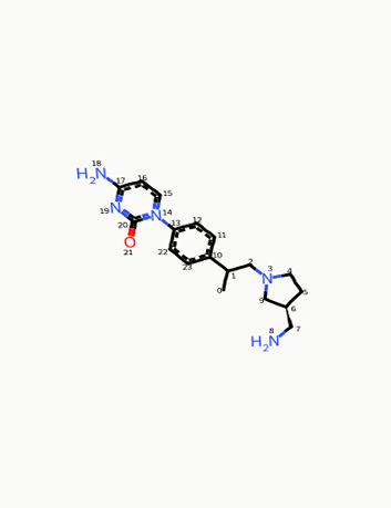 CC(CN1CC[C@@H](CN)C1)c1ccc(-n2ccc(N)nc2=O)cc1